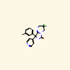 Cc1cccc(C2(c3ccncc3)NC(=S)N3CC(F)(F)CN=C32)c1